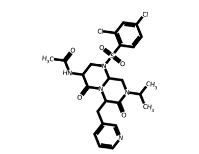 CC(=O)NC1CN(S(=O)(=O)c2ccc(Cl)cc2Cl)C2CN(C(C)C)C(=O)C(Cc3cccnc3)N2C1=O